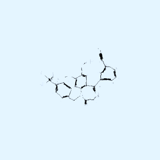 COc1cc2c(cc1OC)N(Cc1ccc(C(F)(F)F)cc1)C(=O)CN=C2c1cccc(C#N)c1